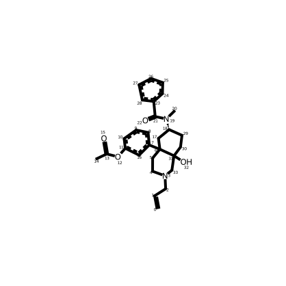 C=CCN1CCC2(c3cccc(OC(C)=O)c3)C[C@H](N(C)C(=O)c3ccccc3)CCC2(O)C1